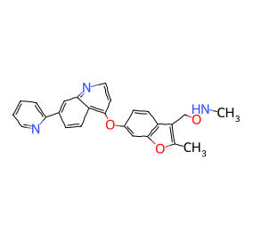 CNOCc1c(C)oc2cc(Oc3ccnc4cc(-c5ccccn5)ccc34)ccc12